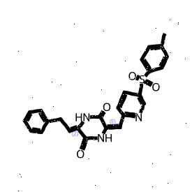 Cc1ccc(S(=O)(=O)c2ccc(/C=c3/[nH]c(=O)/c(=C/Cc4ccccc4)[nH]c3=O)nc2)cc1